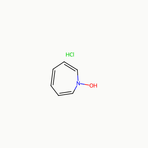 Cl.ON1C=CC=CC=C1